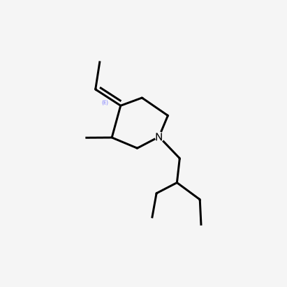 C/C=C1\CCN(CC(CC)CC)CC1C